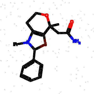 CC(C)N1C2=C(SC1c1ccccc1)C(C)(CC(N)=O)OCC2